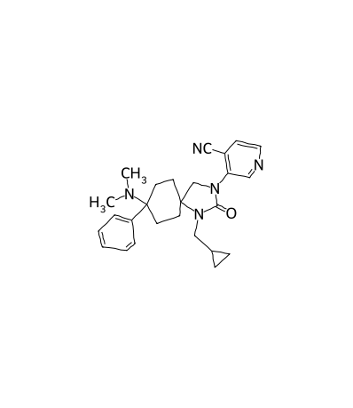 CN(C)C1(c2ccccc2)CCC2(CC1)CN(c1cnccc1C#N)C(=O)N2CC1CC1